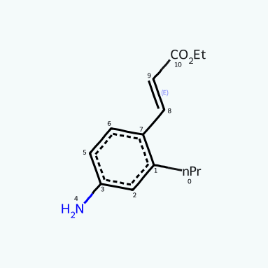 CCCc1cc(N)ccc1/C=C/C(=O)OCC